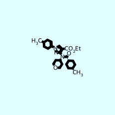 CCOC(=O)c1cn(C2=CCC(C)CC2)nc1N(C(=O)[C@H]1CC[C@H](C)CC1)C1CCOCC1